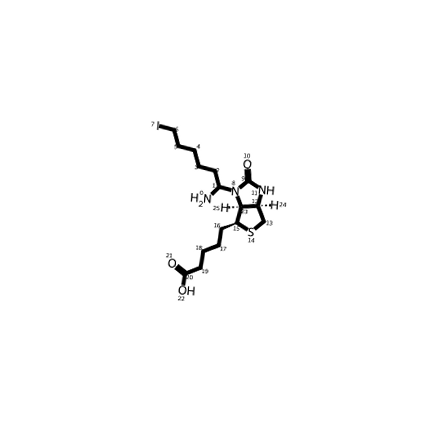 NC(CCCCCI)N1C(=O)N[C@H]2CS[C@@H](CCCCC(=O)O)[C@H]21